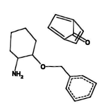 NC1CCCCC1OCc1ccccc1.O=C1C2=CC=C1C=C2